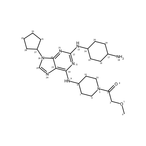 COCC(=O)N1CCC(Nc2nc(NC3CCC(N)CC3)nc3c2ncn3C2CCCC2)CC1